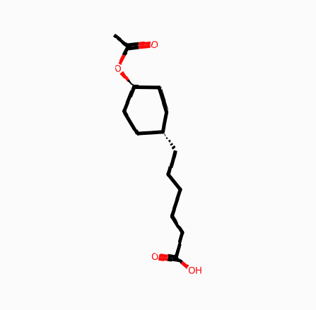 CC(=O)O[C@H]1CC[C@H](CCCCCC(=O)O)CC1